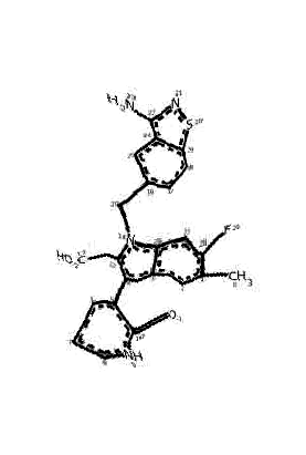 Cc1cc2c(-c3ccc[nH]c3=O)c(C(=O)O)n(Cc3ccc4snc(N)c4c3)c2cc1F